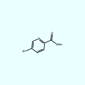 CNC(=O)c1ccc(C(C)C)cn1